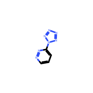 c1cnnc(-n2nnnn2)c1